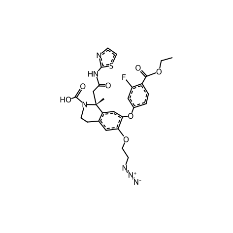 CCOC(=O)c1ccc(Oc2cc3c(cc2OCCN=[N+]=[N-])CCN(C(=O)O)[C@]3(C)CC(=O)Nc2nccs2)cc1F